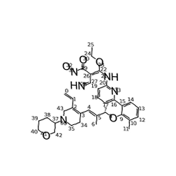 C=CC1=C(/C=C(\C)COc2c(C)cccc2-c2cccc(N/C(OCC)=C(\C=N)C(=O)N=O)n2)CCN(C2CCCOC2)C1